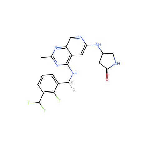 Cc1nc(N[C@H](C)c2cccc(C(F)F)c2F)c2cc(NC3CNC(=O)C3)ncc2n1